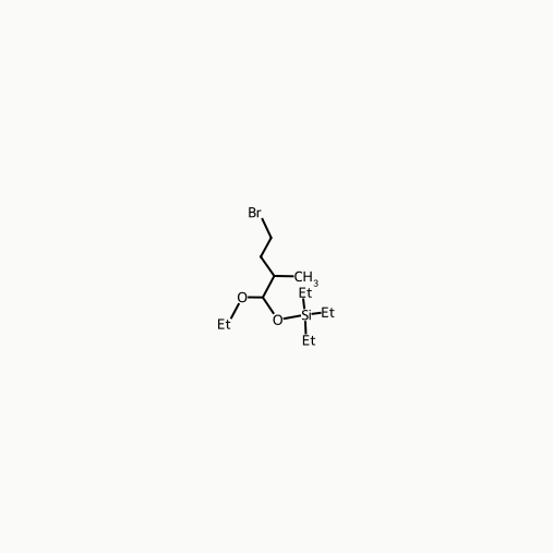 CCOC(O[Si](CC)(CC)CC)C(C)CCBr